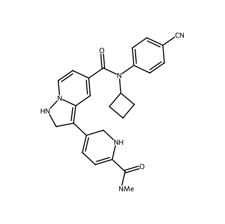 CNC(=O)C1=CC=C(C2=C3C=C(C(=O)N(c4ccc(C#N)cc4)C4CCC4)C=CN3NC2)CN1